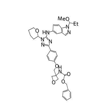 CCC(OC)n1ncc2cc(Nc3nc(-c4ccc(OCC5(NC(=O)OCc6ccccc6)COC5)cc4)nn3C3CCCCO3)ccc21